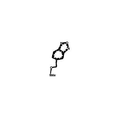 CNOCc1ccc2nonc2c1